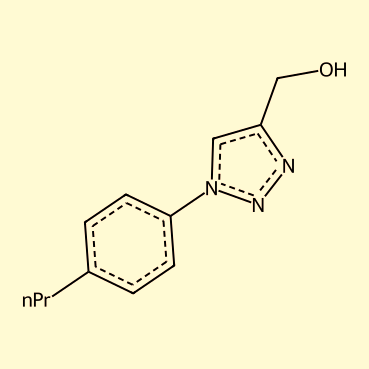 CCCc1ccc(-n2cc(CO)nn2)cc1